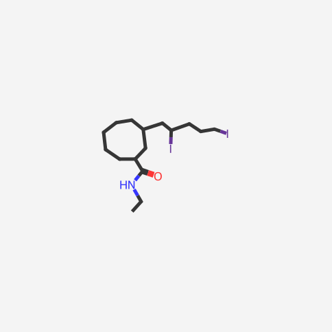 CCNC(=O)C1CCCCCC(CC(I)CCCI)C1